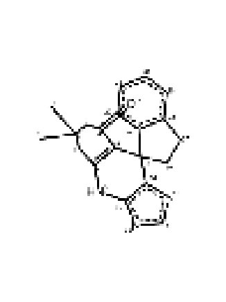 CC1(C)CC(=O)C2=C(C1)Nc1ncsc1C21CCc2ccccc21